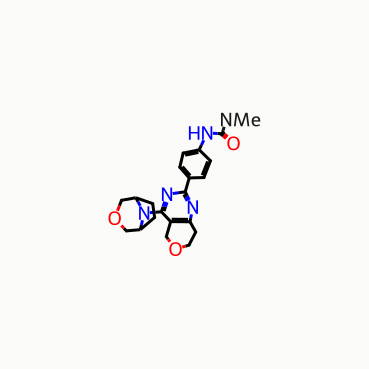 CNC(=O)Nc1ccc(-c2nc3c(c(N4C5CCC4COC5)n2)COCC3)cc1